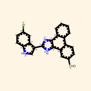 O=Cc1ccc2c3ccccc3c3nc(-c4c[nH]c5ccc(Br)cc45)[nH]c3c2c1